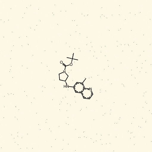 Cc1cc(N[C@H]2CCN(C(=O)OC(C)(C)C)C2)cc2cccnc12